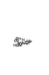 O=C(O)CSc1cc(NCc2ccc(Br)cc2)ccc1O